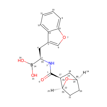 O=C(N[C@H](Cc1coc2ccccc12)B(O)O)[C@H]1C[C@H]2CC[C@@H]1O2